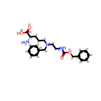 N[C@@H](CCCN(CCNC(=O)OCc1ccccc1)Cc1ccccc1)C(=O)O